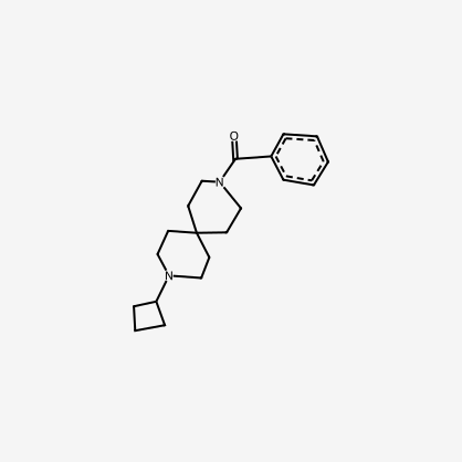 O=C(c1ccccc1)N1CCC2(CC1)CCN(C1CCC1)CC2